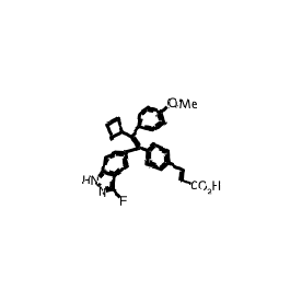 COc1ccc(/C(=C(\c2ccc(/C=C/C(=O)O)cc2)c2ccc3[nH]nc(F)c3c2)C2CCC2)cc1